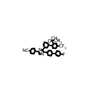 CC1(C)Oc2ccc(-c3nc(-c4ccc(C#N)cc4)cnc3-c3ccc(-c4ccc(F)cc4)cc3)cc2-c2ccc(C(F)(F)F)cc21